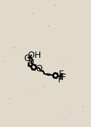 O=C(O)Cn1ccc2ccc(OCCCC#Cc3ccc(C(F)(F)F)cc3)cc21